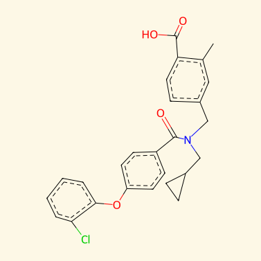 Cc1cc(CN(CC2CC2)C(=O)c2ccc(Oc3ccccc3Cl)cc2)ccc1C(=O)O